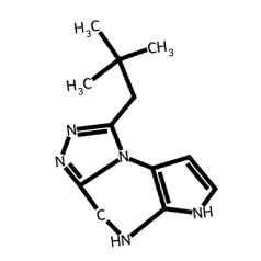 CC(C)(C)Cc1nnc2n1-c1cc[nH]c1NC2